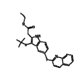 CCOC(=O)Cc1[nH]c2ccc(Sc3ccc4ccccc4n3)cc2c1SC(C)(C)C